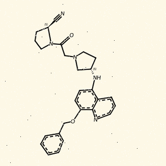 N#C[C@@H]1CCCN1C(=O)CN1CC[C@H](Nc2ccc(OCc3ccccc3)c3ncccc23)C1